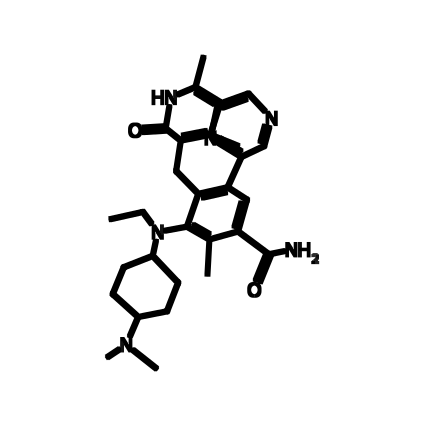 CCN(c1c(C)c(C(N)=O)cc(-c2cnccn2)c1Cc1c(C)cc(C)[nH]c1=O)C1CCC(N(C)C)CC1